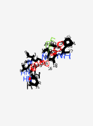 CCC(C)C(C(CC(=O)N1CCC[C@H]1C(OC)C(C)C(=O)NC(C)C(OC(=O)C(F)(F)F)c1ccccc1)OC)N(C)C(=O)C(NC(=O)[C@H]1N[C@@H]2CC[C@H]1C2)C(C)C